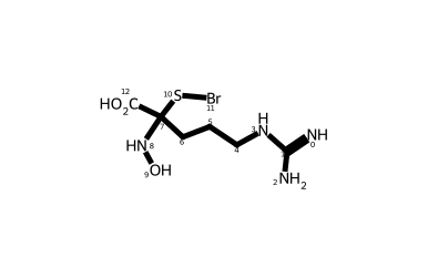 N=C(N)NCCCC(NO)(SBr)C(=O)O